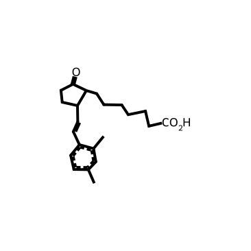 Cc1ccc(C=CC2CCC(=O)C2CCCCCCC(=O)O)c(C)c1